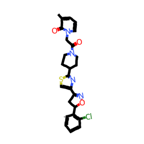 Cc1cccn(CC(=O)N2CCC(c3nc(C4=NOC(c5[c]cccc5Cl)C4)cs3)CC2)c1=O